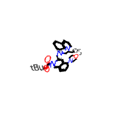 CC(C)(C)OC(=O)N1Cc2cccc(N3CCOCC3)c2C[C@@H]1CN(CCCC(F)(F)F)[C@H]1CCCc2cccnc21